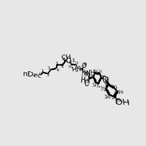 CCCCCCCCCCCCCCCCC(C)OCCNC(=O)NNC(=O)c1ccc(Oc2ccc(O)cc2)cc1